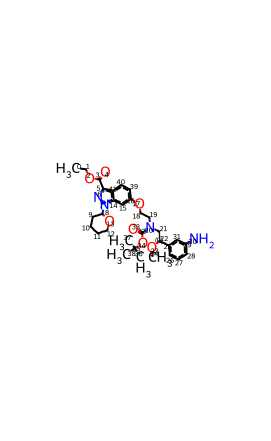 CCOC(=O)c1nn(C2CCCCO2)c2cc(OCCN(C[C@H](OC)c3cccc(N)c3)C(=O)OC(C)(C)C)ccc12